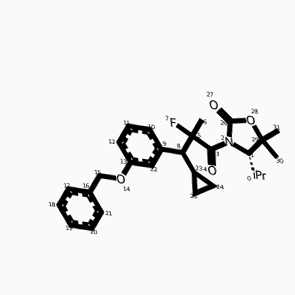 CC(C)[C@@H]1N(C(=O)C(C)(F)C(c2cccc(OCc3ccccc3)c2)C2CC2)C(=O)OC1(C)C